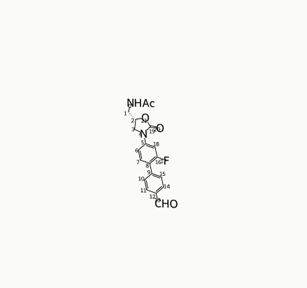 CC(=O)NC[C@H]1CN(c2ccc(-c3ccc(C=O)cc3)c(F)c2)C(=O)O1